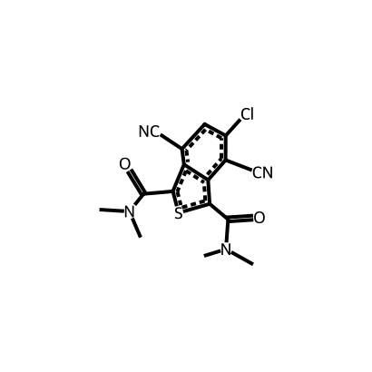 CN(C)C(=O)c1sc(C(=O)N(C)C)c2c(C#N)c(Cl)cc(C#N)c12